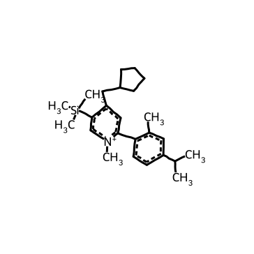 Cc1cc(C(C)C)ccc1-c1cc(CC2CCCC2)c([Si](C)(C)C)c[n+]1C